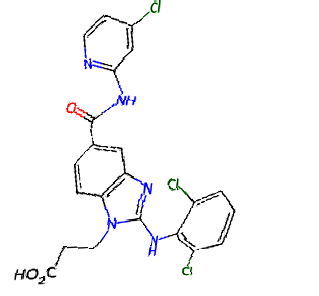 O=C(O)CCn1c(Nc2c(Cl)cccc2Cl)nc2cc(C(=O)Nc3cc(Cl)ccn3)ccc21